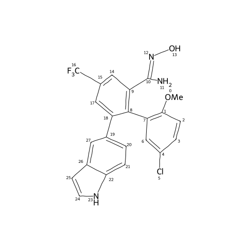 COc1ccc(Cl)cc1-c1c(/C(N)=N/O)cc(C(F)(F)F)cc1-c1ccc2[nH]ccc2c1